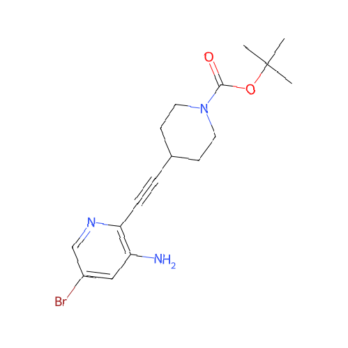 CC(C)(C)OC(=O)N1CCC(C#Cc2ncc(Br)cc2N)CC1